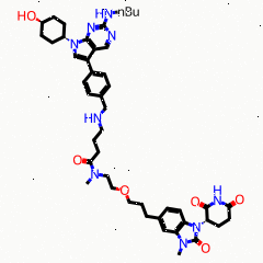 CCCCNc1ncc2c(-c3ccc(CNCCCC(=O)N(C)CCOCCCc4ccc5c(c4)n(C)c(=O)n5[C@H]4CCC(=O)NC4=O)cc3)cn([C@H]3CC[C@H](O)CC3)c2n1